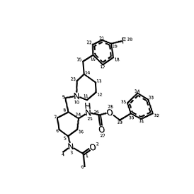 CC(=O)N(C)C1CCC(CN2CCCC(Cc3ccc(F)cc3)C2)C(NC(=O)OCc2ccccc2)C1